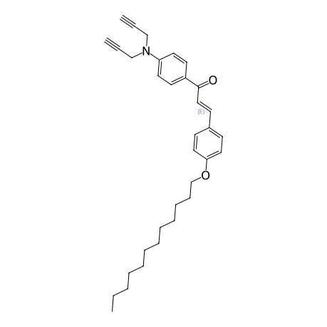 C#CCN(CC#C)c1ccc(C(=O)/C=C/c2ccc(OCCCCCCCCCCCC)cc2)cc1